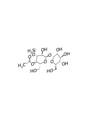 CC(=O)O[C@H]1[C@H](O[SiH3])[C@@H](O)[C@@H](O[C@H]2O[C@H](CO)[C@@H](O)[C@H](O)[C@H]2O)O[C@@H]1CO